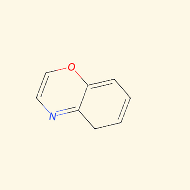 C1=CCC2=NC=COC2=C1